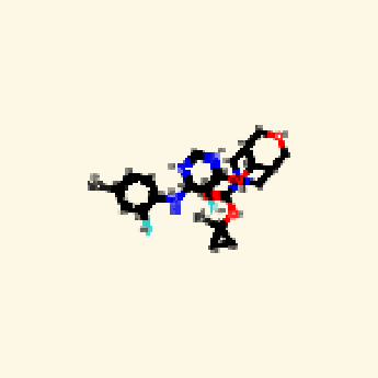 CCC1(OC(=O)N2CC3COCC(C2)C3Oc2ncnc(Nc3ccc(C#N)cc3F)c2F)CC1